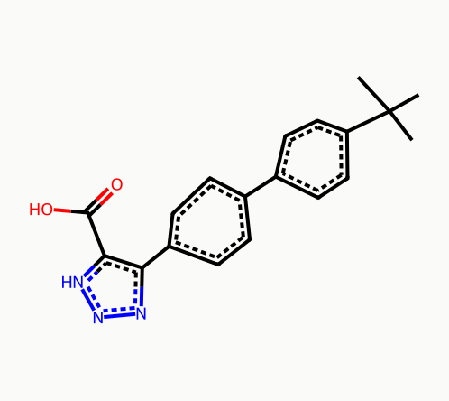 CC(C)(C)c1ccc(-c2ccc(-c3nn[nH]c3C(=O)O)cc2)cc1